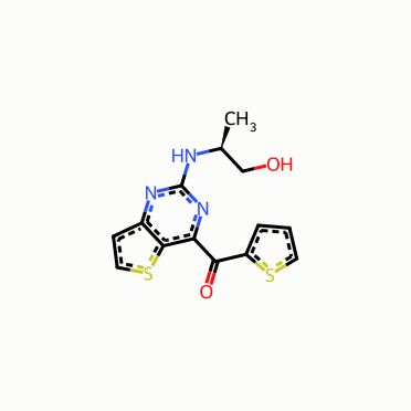 C[C@@H](CO)Nc1nc(C(=O)c2cccs2)c2sccc2n1